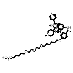 C[C@H](Nc1cccc(NC2(c3nnc(-c4ccncc4)[nH]3)CCN(C)CC2)c1)c1ccc(OCCCCCCOCCOCCOCCCCCC(=O)O)cc1